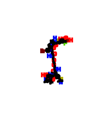 Cc1cc([C@H](C(=O)N2C[C@H](O)C[C@H]2C(=O)N[C@@H](CC(=O)NCCOCCOCCNC(=O)CCN(C(=O)[C@@H]2CCCN2C(=O)[C@@H](NC(=O)c2cc3cc(C(F)(F)P(=O)(O)O)ccc3s2)C(C)(C)C)c2ccc(Br)cc2)c2ccc(-c3scnc3C)cc2)C(C)C)on1